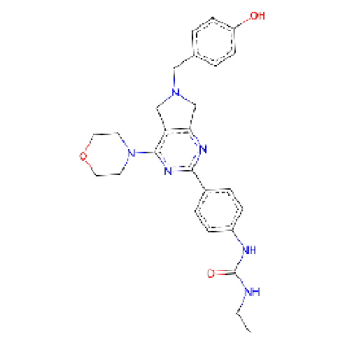 CCNC(=O)Nc1ccc(-c2nc3c(c(N4CCOCC4)n2)CN(Cc2ccc(O)cc2)C3)cc1